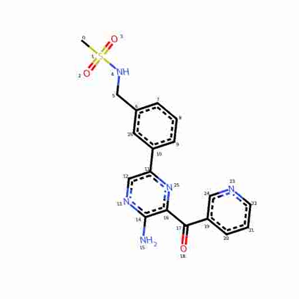 CS(=O)(=O)NCc1cccc(-c2cnc(N)c(C(=O)c3cccnc3)n2)c1